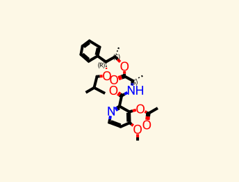 COc1ccnc(C(=O)N[C@@H](C)C(=O)O[C@@H](C)[C@H](OCC(C)C)c2ccccc2)c1OC(C)=O